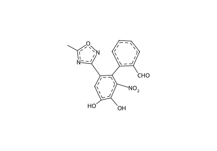 Cc1nc(-c2cc(O)c(O)c([N+](=O)[O-])c2-c2ccccc2C=O)no1